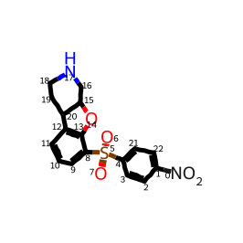 O=[N+]([O-])c1ccc(S(=O)(=O)c2cccc3c2OC2CNCCC32)cc1